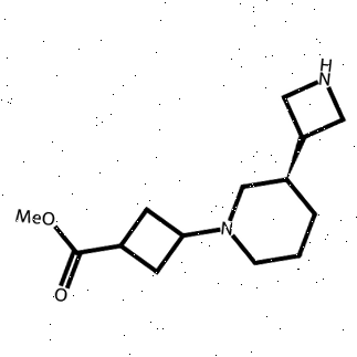 COC(=O)C1CC(N2CCC[C@H](C3CNC3)C2)C1